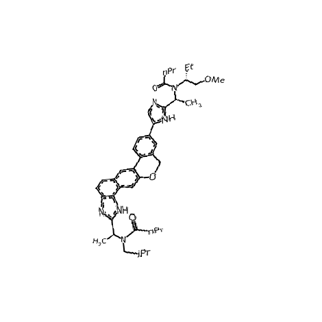 CCCC(=O)N(CC(C)C)[C@@H](C)c1nc2ccc3cc4c(cc3c2[nH]1)OCc1cc(-c2cnc([C@H](C)N(C(=O)CCC)[C@H](CC)COC)[nH]2)ccc1-4